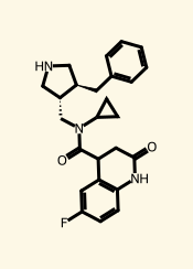 O=C1CC(C(=O)N(C[C@@H]2CNC[C@H]2Cc2ccccc2)C2CC2)c2cc(F)ccc2N1